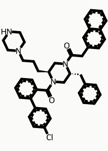 O=C(Cc1ccc2ccccc2c1)N1C[C@H](CCCN2CCNCC2)N(C(=O)c2ccccc2-c2ccc(Cl)cc2)C[C@H]1Cc1ccccc1